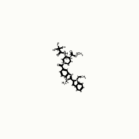 CCn1c(-c2nc3cc(C(=O)N4CC[C@H](C(=O)OC)[C@H](NC(=O)C(F)(F)F)C4)ccc3n2C)cc2ccccc21